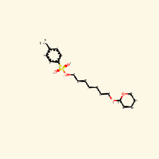 Cc1ccc(S(=O)(=O)OCCCCCCCOC2CCCCO2)cc1